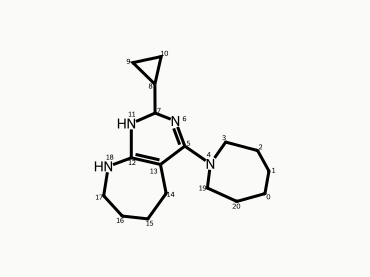 C1CCCN(C2=NC(C3CC3)NC3=C2CCCCN3)CC1